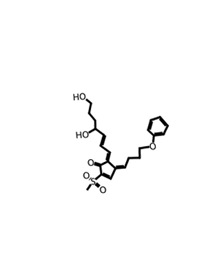 CS(=O)(=O)C1=CC(=C/CCCOc2ccccc2)/C(=C/C=C/C(O)CCCO)C1=O